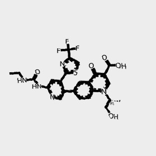 CCNC(=O)Nc1cc(-c2nc(C(F)(F)F)cs2)c(-c2ccc3c(c2)c(=O)c(C(=O)O)cn3[C@H](C)CO)cn1